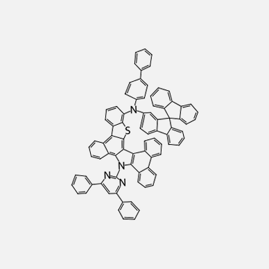 c1ccc(-c2ccc(N(c3ccc4c(c3)C3(c5ccccc5-c5ccccc53)c3ccccc3-4)c3cccc4c3sc3c4c4ccccc4c4c3c3c5ccccc5c5ccccc5c3n4-c3nc(-c4ccccc4)cc(-c4ccccc4)n3)cc2)cc1